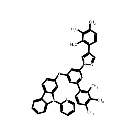 Cc1ccc(-c2cnn(-c3cc(Oc4ccc5c6ccccc6n(-c6ccccn6)c5c4)cc(-c4ccc(C)c(C)c4C)n3)c2)c(C)c1C